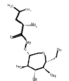 CC(C)C[C@H](N)C(=O)NO[C@@H]1O[C@H](CO)[C@@H](O)[C@H](O)[C@H]1O